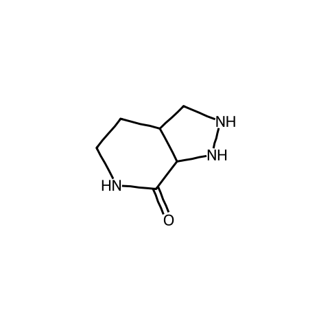 O=C1NCCC2CNNC12